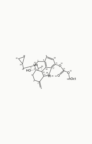 C=C1CC[C@@]2(O)C3Cc4ccc(OC(=O)OCCCCCCCC)c5c4[C@@]2(CCN3CC2CC2)[C@H]1O5